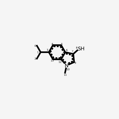 CC(C)c1ccc2c(S)cn(C)c2c1